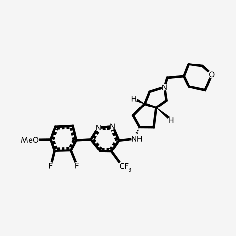 COc1ccc(-c2cc(C(F)(F)F)c(N[C@@H]3C[C@@H]4CN(CC5CCOCC5)C[C@@H]4C3)nn2)c(F)c1F